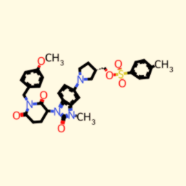 COc1ccc(CN2C(=O)CCC(n3c(=O)n(C)c4cc(N5CC[C@H](COS(=O)(=O)c6ccc(C)cc6)C5)ccc43)C2=O)cc1